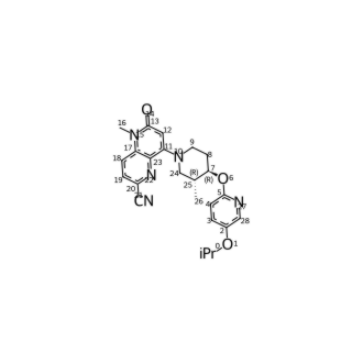 CC(C)Oc1ccc(O[C@@H]2CCN(c3cc(=O)n(C)c4ccc(C#N)nc34)C[C@H]2C)nc1